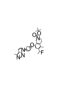 Cc1c(C(C)F)cc(O[C@@H]2C=C[C@H](n3ccc4c(C)ncnc43)C2)c2c1CCN(C(=O)OC(C)(C)C)C2